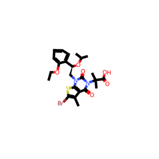 CCOc1ccccc1[C@H](Cn1c(=O)n(C(C)(C)C(=O)O)c(=O)c2c(C)c(Br)sc21)OC(C)C